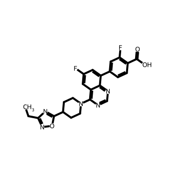 CCc1noc(C2CCN(c3ncnc4c(-c5ccc(C(=O)O)c(F)c5)cc(F)cc34)CC2)n1